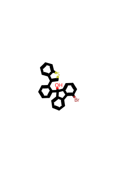 OC1(c2ccccc2-c2csc3ccccc23)c2ccccc2-c2c(Br)cccc21